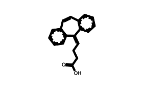 O=C(O)CCC=C1c2ccccc2C=Cc2ccccc21